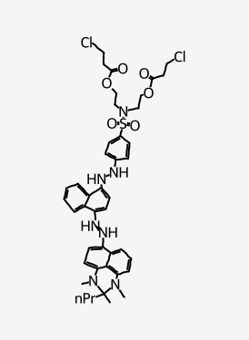 CCCC1(C)N(C)c2cccc3c(NNc4ccc(NNc5ccc(S(=O)(=O)N(CCOC(=O)CCCl)CCOC(=O)CCCl)cc5)c5ccccc45)ccc(c23)N1C